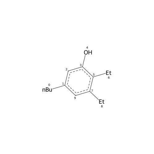 CCCCc1cc(O)c(CC)c(CC)c1